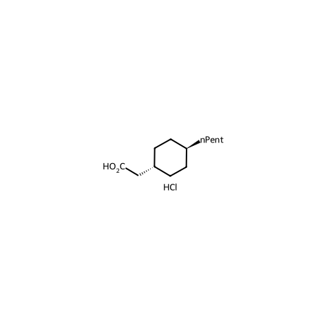 CCCCC[C@H]1CC[C@H](CC(=O)O)CC1.Cl